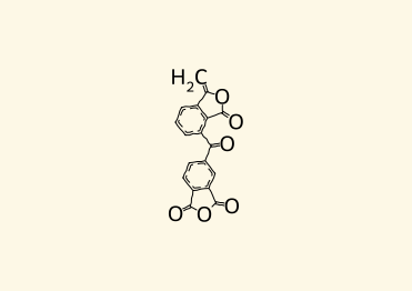 C=C1OC(=O)c2c1cccc2C(=O)c1ccc2c(c1)C(=O)OC2=O